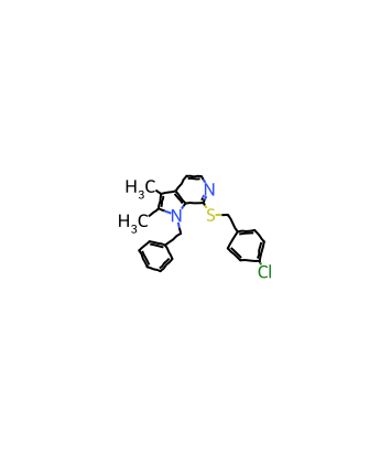 Cc1c(C)n(Cc2ccccc2)c2c(SCc3ccc(Cl)cc3)nccc12